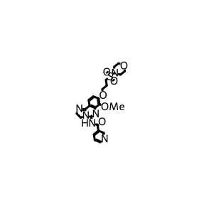 COc1c(OCCCS(=O)(=O)N2CCOCC2)ccc2c1N=C(NC(=O)c1cccnc1)N1CCN=C21